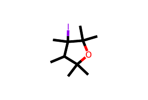 CC1C(C)(C)OC(C)(C)C1(C)I